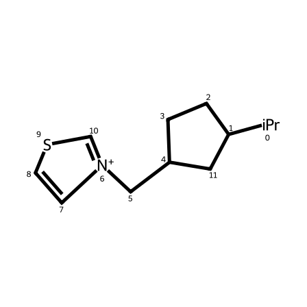 CC(C)C1CCC(C[n+]2ccsc2)C1